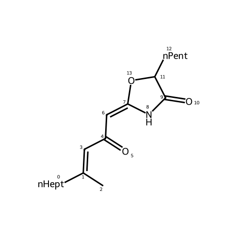 CCCCCCC/C(C)=C/C(=O)/C=C1\NC(=O)C(CCCCC)O1